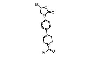 CCC1CN(c2ccc(C3=CCN(C(=O)C(C)C)CC3)cc2)C(=O)O1